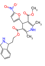 COC(=O)C1=C(C)NC(C)=C(C(=O)OCCC2NCc3ccccc32)C1c1ccc([N+](=O)[O-])o1